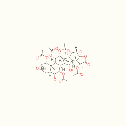 CC(=O)O[C@H]1[C@H]2[C@H]([C@@H]3[C@@H](O)[C@@H]4[C@H]([C@H](C)[C@@H]5O[C@@]56OC(=O)[C@@](C)(OC(C)=O)[C@]46C)[C@@]3(C)[C@H]1OC(C)=O)[C@@H](OC(C)=O)C(=O)[C@H]1C[C@@H]3O[C@@H]3[C@H](OC(C)=O)[C@]21C